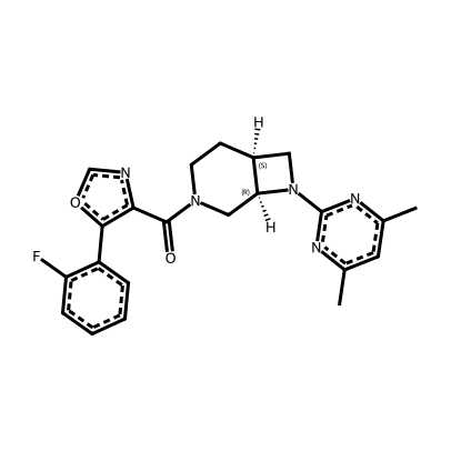 Cc1cc(C)nc(N2C[C@@H]3CCN(C(=O)c4ncoc4-c4ccccc4F)C[C@@H]32)n1